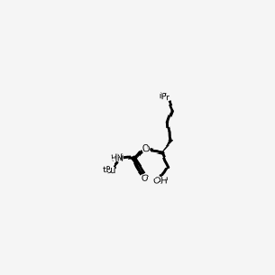 CC(C)CCC[C@@H](CO)OC(=O)NC(C)(C)C